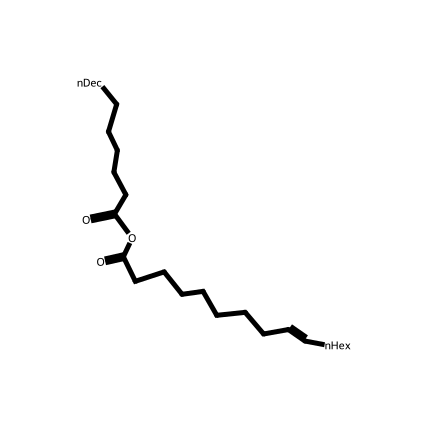 CCCCCCC=CCCCCCCCC(=O)OC(=O)CCCCCCCCCCCCCCC